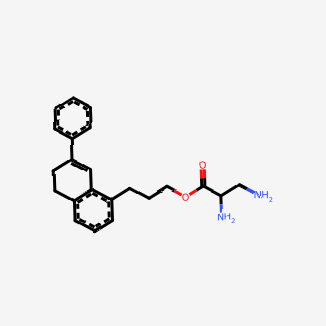 NCC(N)C(=O)OCCCc1cccc2c1C=C(c1ccccc1)CC2